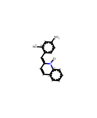 CCN1C(=Cc2ccc([N+](=O)[O-])cc2C#N)C=Cc2ccccc21